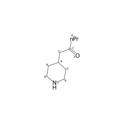 CCCC(=O)CC1CCNCC1